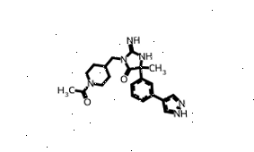 CC(=O)N1CCC(CN2C(=N)NC(C)(c3cccc(-c4cn[nH]c4)c3)C2=O)CC1